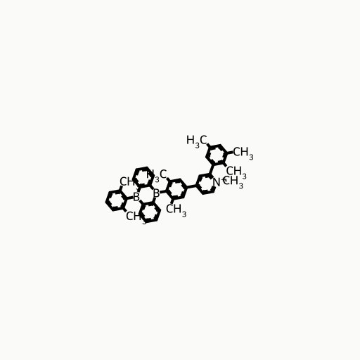 Cc1cc(C)c(C)c(-c2cc(-c3cc(C)c(B4c5ccccc5B(c5c(C)cccc5C)c5ccccc54)c(C)c3)cc[n+]2C)c1